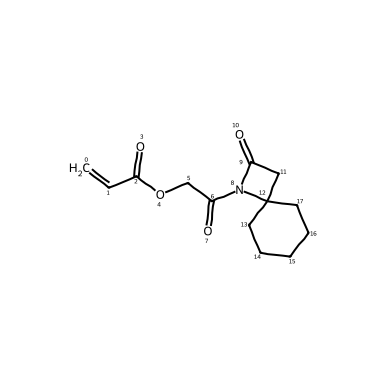 C=CC(=O)OCC(=O)N1C(=O)CC12CCCCC2